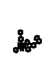 c1ccc(-c2ccc(-c3nc(-c4ccccc4)nc(-c4cccc(-c5ccc(-c6cccc7ccccc67)cc5-c5ccccc5)c4)n3)cc2)cc1